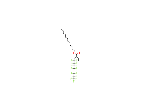 CCCCCCCCCCCCOC(=O)C(=CC(F)(F)C(F)(F)C(F)(F)C(F)(F)C(F)(F)C(F)(F)C(F)(F)C(F)(F)F)CC